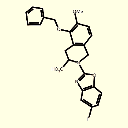 COc1ccc2c(c1OCc1ccccc1)CC(C(=O)O)N(c1nc3cc(F)ccc3o1)C2